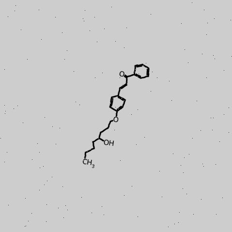 CCCCC(O)CCCOc1ccc(C=CC(=O)c2ccccc2)cc1